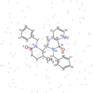 CC1CCC(=O)N(Cc2ccccc2)C1c1nc2c(c(=O)n1Cc1ccccc1)NC=CC2